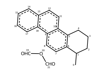 CC1CCCc2c1ccc1c2ccc2ccccc21.O=COC=O